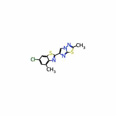 Cc1nn2cc(-c3nc4c(C)cc(Cl)cc4s3)nc2s1